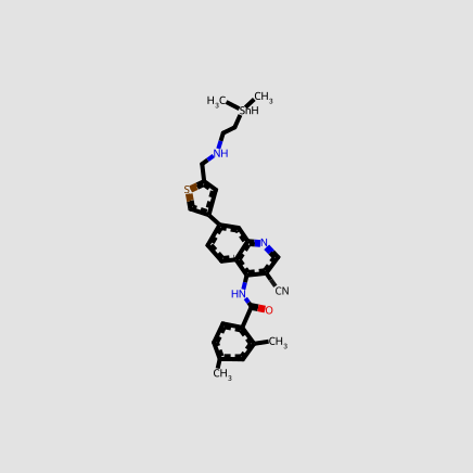 Cc1ccc(C(=O)Nc2c(C#N)cnc3cc(-c4csc(CNC[CH2][SnH]([CH3])[CH3])c4)ccc23)c(C)c1